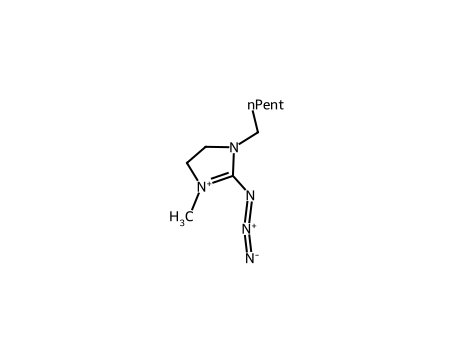 CCCCCCN1CC[N+](C)=C1N=[N+]=[N-]